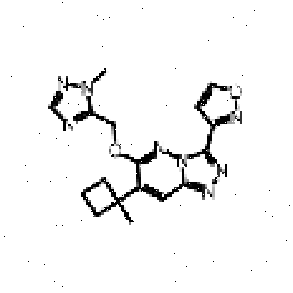 Cn1ncnc1COc1nn2c(-c3ccon3)nnc2cc1C1(C)CCC1